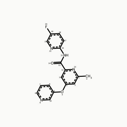 Cc1cc(Oc2cccnc2)cc(C(=O)Nc2ccc(F)cn2)n1